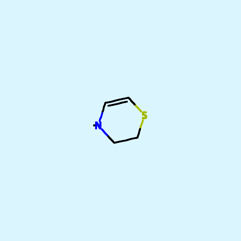 C1=CSCC[N]1